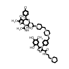 CC(=N)N1C(=N)[C@H](CC(=O)N2CCC(CN3CCN(Cc4ccc(-n5c(C(=O)NCCN6CCCCC6)nnc5-c5cc(C)c(O)cc5O)cc4)CC3)CC2)N=C(c2ccc(Cl)cc2)c2c1sc(C)c2C